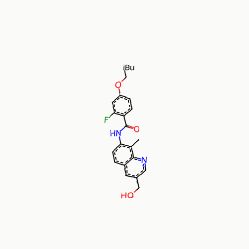 CCC(C)COc1ccc(C(=O)Nc2ccc3cc(CO)cnc3c2C)c(F)c1